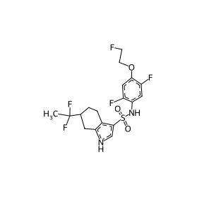 CC(F)(F)C1CCc2c(S(=O)(=O)Nc3cc(F)c(OCCF)cc3F)c[nH]c2C1